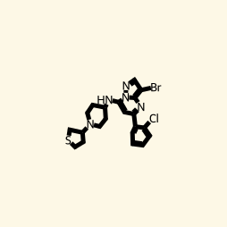 Clc1ccccc1-c1cc(NC2CCN(C3CCSC3)CC2)n2ncc(Br)c2n1